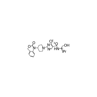 CC(C)[C@H](CO)NC(=O)c1cnc(N2CCC(N3C(=O)OCc4ccccc43)CC2)nc1C(F)(F)F